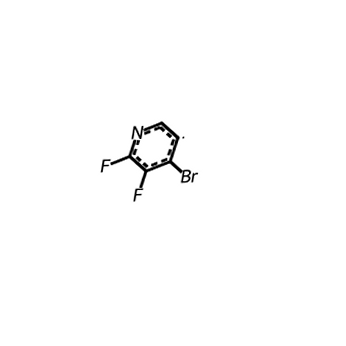 Fc1nc[c]c(Br)c1F